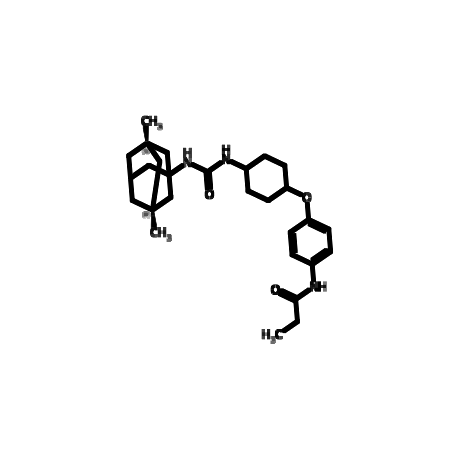 CCC(=O)Nc1ccc(OC2CCC(NC(=O)NC34CC5C[C@@](C)(C3)C[C@](C)(C5)C4)CC2)cc1